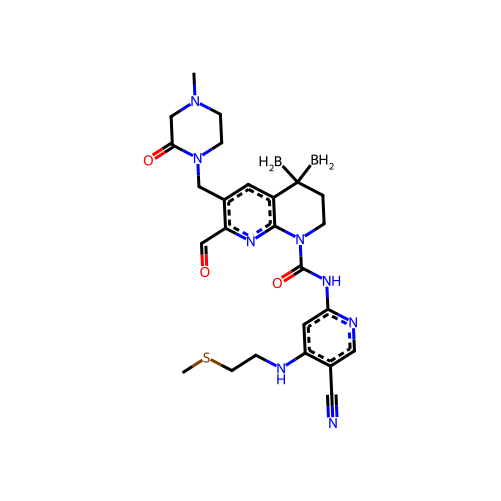 BC1(B)CCN(C(=O)Nc2cc(NCCSC)c(C#N)cn2)c2nc(C=O)c(CN3CCN(C)CC3=O)cc21